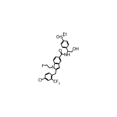 CC[S+]([O-])c1ccc(C(CO)NC(=O)c2ccc3c(c2)cc(Cc2ccc(Cl)cc2C(F)(F)F)n3CCF)cc1